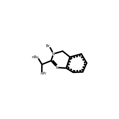 C[CH]CCC(CCC)C1=Nc2ccccc2CN1Br